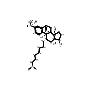 C=C[C@@]12CCc3cc(NS(=O)(=O)O)ccc3[C@H]1[C@@H](CCCCCCCN(C)C)C[C@@]1(C)[C@H]2CC[C@@H]1O